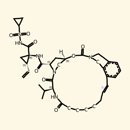 C=C[C@@H]1C[C@]1(NC(=O)[C@@H]1C[C@@H]2CN1C(=O)[C@H](C(C)C)NC(=O)CCCCC/C=C/c1cccc3c1CN(C3)C(=O)O2)C(=O)NS(=O)(=O)C1CC1